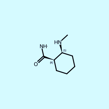 CN[C@H]1CCCC[C@H]1C([NH])=O